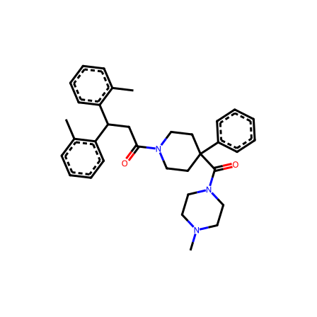 Cc1ccccc1C(CC(=O)N1CCC(C(=O)N2CCN(C)CC2)(c2ccccc2)CC1)c1ccccc1C